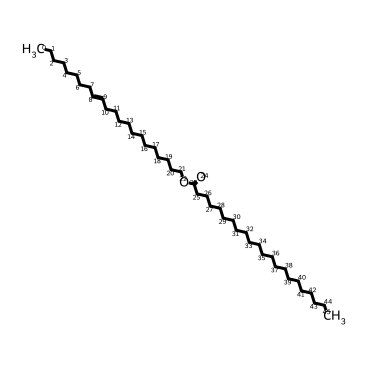 CCCCCCCCC=CCCCCCCCCCCCCOC(=O)CCCCCCCCCCCCCCCCCCCCC